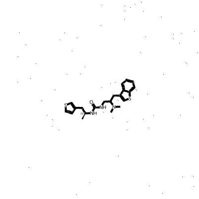 C[C@@H](Cc1ccsc1)NC(=O)NCC(Cc1csc2ccccc12)N(C)C